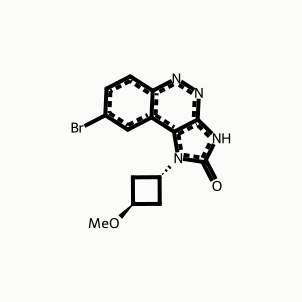 CO[C@H]1C[C@H](n2c(=O)[nH]c3nnc4ccc(Br)cc4c32)C1